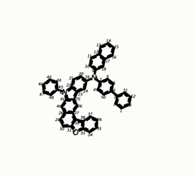 c1ccc(-c2ccc(N(c3ccc4ccccc4c3)c3ccc4c(c3)c3cc5c(ccc6oc7ccccc7c65)cc3n4-c3ccccc3)cc2)cc1